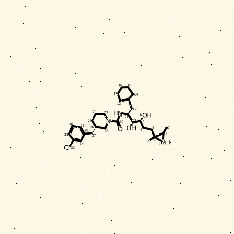 CC1NC1(C)CC[C@H](O)[C@H](O)[C@H](CC1CCCCC1)NC(=O)N1CCC[C@@H](Cc2cccc(Cl)c2)C1